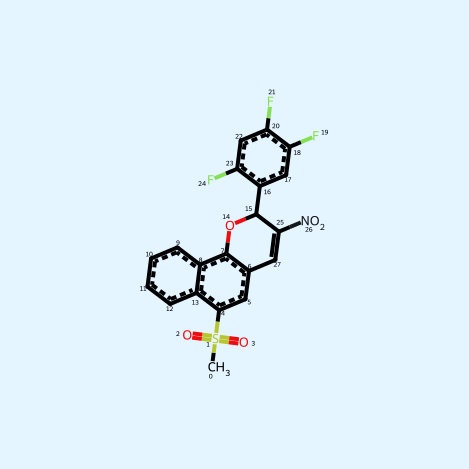 CS(=O)(=O)c1cc2c(c3ccccc13)OC(c1cc(F)c(F)cc1F)C([N+](=O)[O-])=C2